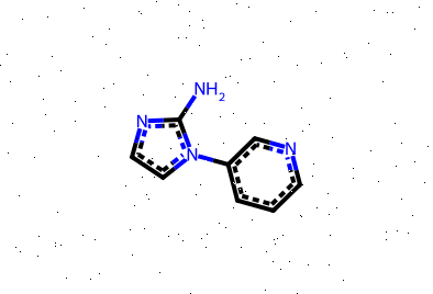 Nc1nccn1-c1cccnc1